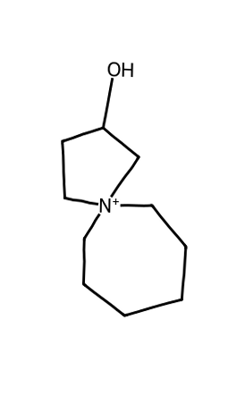 OC1CC[N+]2(CCCCCC2)C1